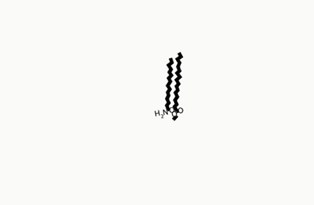 CCCCCCCCCCCCCCCC(N)=O.CCCCCCCCCCCCCCCCCC(=O)OCC